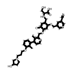 Cc1c(OCCCN2CCC(O)C2)cccc1-c1ccnc(COc2cc(OCc3cncc(C#N)c3)c(CNC(CO)C(=O)O)cc2Cl)c1C